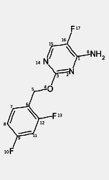 Nc1nc(OCc2ccc(F)cc2F)ncc1F